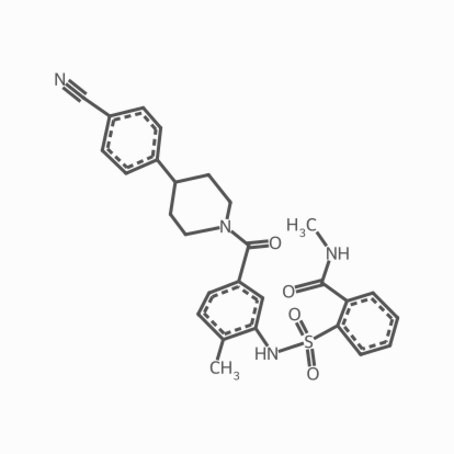 CNC(=O)c1ccccc1S(=O)(=O)Nc1cc(C(=O)N2CCC(c3ccc(C#N)cc3)CC2)ccc1C